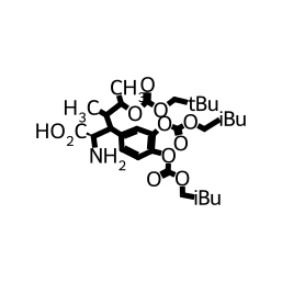 CCC(C)COC(=O)Oc1ccc(C(C(C)C(C)OC(=O)OCC(C)(C)C)[C@H](N)C(=O)O)cc1OC(=O)OCC(C)CC